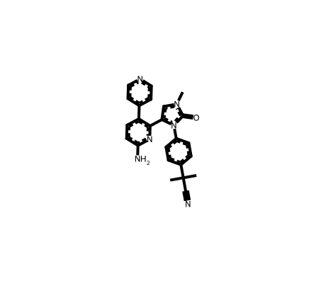 Cn1cc(-c2nc(N)ccc2-c2ccncc2)n(-c2ccc(C(C)(C)C#N)cc2)c1=O